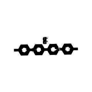 Cc1ccc(-[n+]2ccc(-c3cc[n+](-c4ccc(C)cc4)cc3)cc2)cc1.[Cl-].[Cl-]